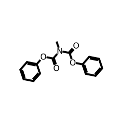 CN(C(=O)Oc1ccccc1)C(=O)Oc1ccccc1